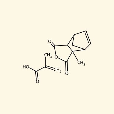 C=C(C)C(=O)O.CC12C(=O)OC(=O)C1C1C=CC2C1